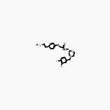 O=C(O)CCC1C=CC(SCC(=O)NC[C@H]2CN(Cc3ccc(Cl)c(Cl)c3)CCO2)=CC1